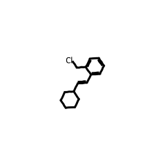 ClCc1ccccc1C=CC1CCCCC1